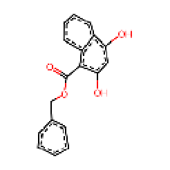 O=C(OCc1ccccc1)c1c(O)cc(O)c2ccccc12